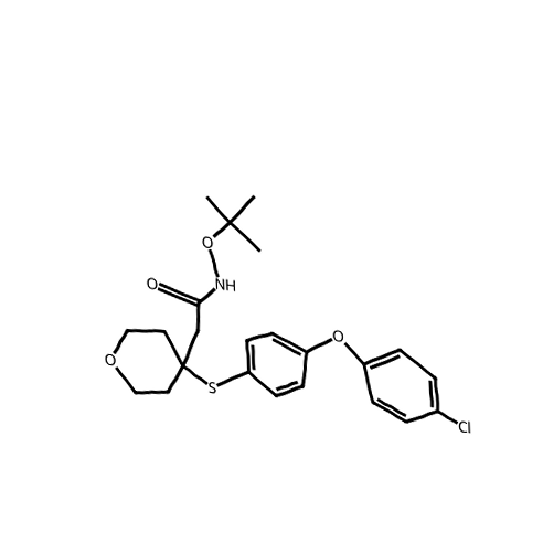 CC(C)(C)ONC(=O)CC1(Sc2ccc(Oc3ccc(Cl)cc3)cc2)CCOCC1